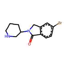 O=C1c2ccc(Br)cc2CN1C1CCCNC1